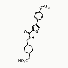 O=C(O)CC1CCC(CNC(=O)c2cc(-c3ccc(OC(F)(F)F)cc3)cs2)CC1